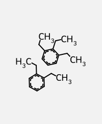 CCc1cccc(CC)c1CC.CCc1ccccc1CC